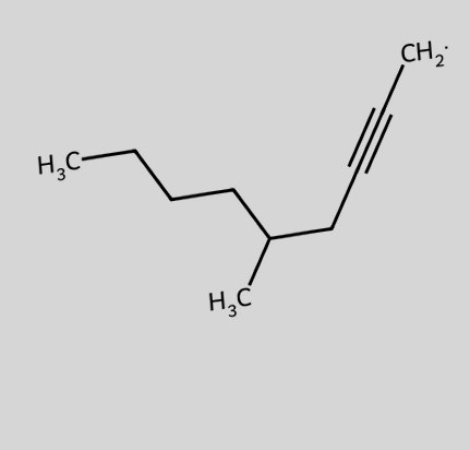 [CH2]C#CCC(C)CCCC